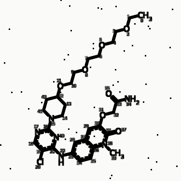 CCOCCOCCOCCOC1CCN(c2ncc(Cl)c(Nc3ccc4c(c3)cc(OCC(N)=O)c(=O)n4C)n2)CC1